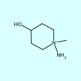 C[N+]1(N)CCC(O)CC1